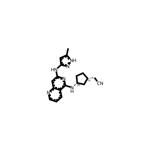 Cc1cc(Nc2cc3ncccc3c(N[C@@H]3CC[C@H](CC#N)C3)n2)n[nH]1